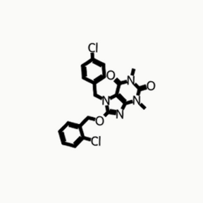 Cn1c(=O)c2c(nc(OCc3ccccc3Cl)n2Cc2ccc(Cl)cc2)n(C)c1=O